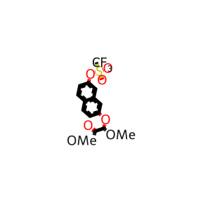 COC(=O)C(OC)Oc1ccc2ccc(OS(=O)(=O)C(F)(F)F)cc2c1